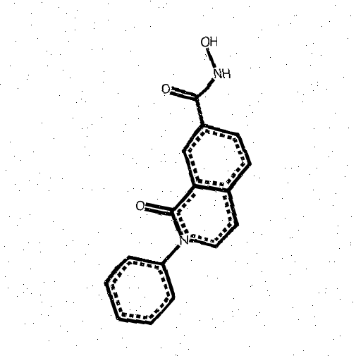 O=C(NO)c1ccc2ccn(-c3ccccc3)c(=O)c2c1